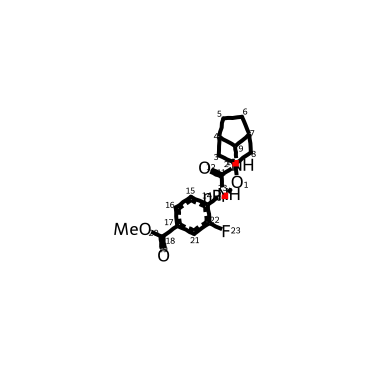 CCCOC1CC2CCC(C1)C2NC(=O)Nc1ccc(C(=O)OC)cc1F